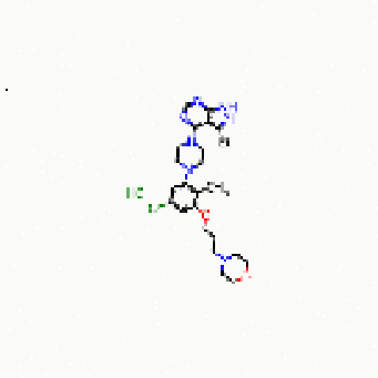 CCc1n[nH]c2ncnc(N3CCN(c4cc(Cl)cc(OCCCN5CCOCC5)c4C)CC3)c12.Cl